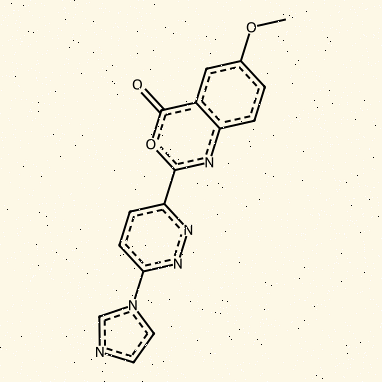 COc1ccc2nc(-c3ccc(-n4ccnc4)nn3)oc(=O)c2c1